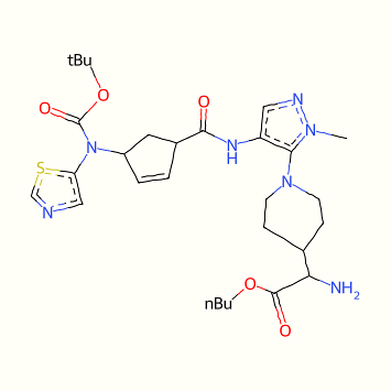 CCCCOC(=O)C(N)C1CCN(c2c(NC(=O)C3C=CC(N(C(=O)OC(C)(C)C)c4cncs4)C3)cnn2C)CC1